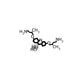 CC(CCN)COc1ccc2cc3ccc(OCC(C)CCN)cc3nc2c1.Cl.Cl.Cl